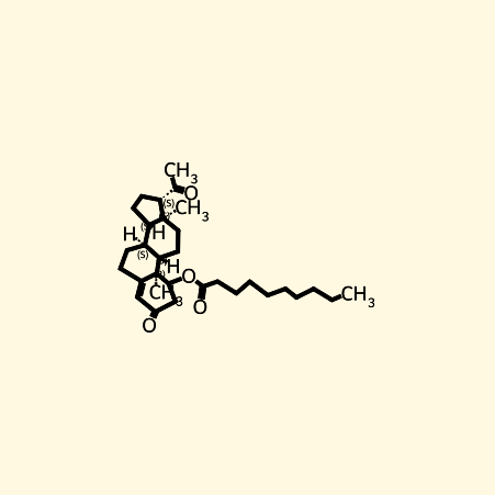 CCCCCCCCCC(=O)OC1CC(=O)C=C2CC[C@H]3[C@@H]4CC[C@H](C(C)=O)[C@@]4(C)CC[C@@H]3[C@]21C